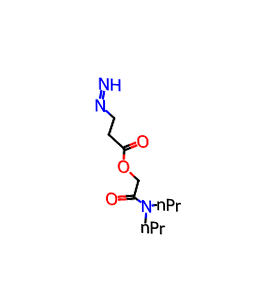 CCCN(CCC)C(=O)COC(=O)CCN=N